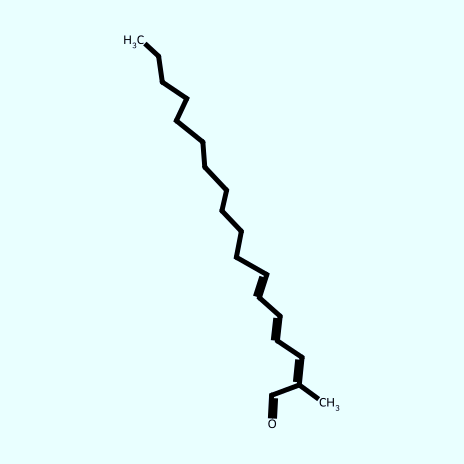 CCCCCCCCCCCC=CC=CC=C(C)C=O